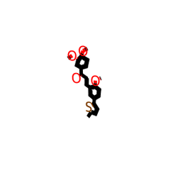 COc1ccc(-c2ccc(C)s2)cc1C=CC(=O)c1ccc(OC)c(OC)c1